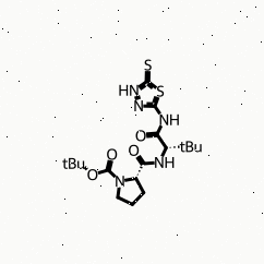 CC(C)(C)OC(=O)N1CCC[C@H]1C(=O)N[C@H](C(=O)Nc1n[nH]c(=S)s1)C(C)(C)C